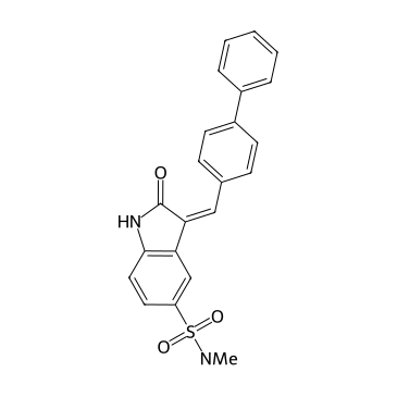 CNS(=O)(=O)c1ccc2c(c1)C(=Cc1ccc(-c3ccccc3)cc1)C(=O)N2